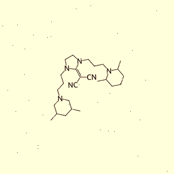 CC1CC(C)CN(CCCN2CCN(CCCN3C(C)CCCC3C)C2=C(C#N)C#N)C1